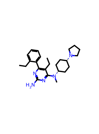 CCc1ccccc1-c1nc(N)nc(N(C)[C@H]2CC[C@@H](N3CCCC3)CC2)c1CC